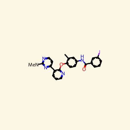 CNc1nccc(-c2cccnc2Oc2ccc(NC(=O)c3cccc(I)c3)cc2C)n1